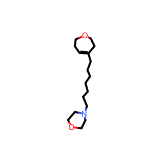 C1=C(CCCCCCCN2CCOCC2)CCOCC1